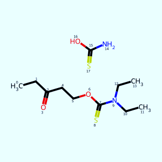 CCC(=O)CCOC(=S)N(CC)CC.NC(O)=S